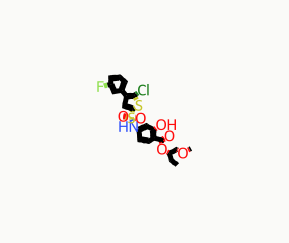 CCC(COC)OC(=O)c1ccc(NS(=O)(=O)c2cc(-c3cccc(F)c3)c(Cl)s2)cc1O